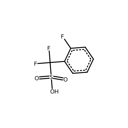 O=S(=O)(O)C(F)(F)c1ccccc1F